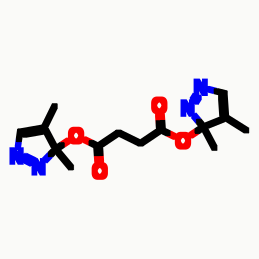 CC1=CN=NC1(C)OC(=O)CCC(=O)OC1(C)N=NC=C1C